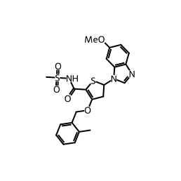 COc1ccc2ncn(C3CC(OCc4ccccc4C)=C(C(=O)NS(C)(=O)=O)S3)c2c1